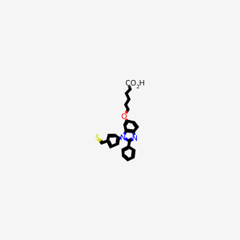 O=C(O)CCCCCOc1ccc2nc(-c3ccccc3)n(-c3ccc(C=S)cc3)c2c1